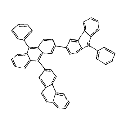 c1ccc(-c2c3ccccc3c(-c3ccc4c(ccc5ccccc54)c3)c3cc(-c4ccc5c(c4)c4ccccc4n5-c4ccccc4)ccc23)cc1